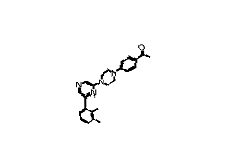 CC(=O)c1ccc(N2CCN(c3cncc(-c4cccc(C)c4C)n3)CC2)cc1